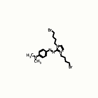 CN(C)c1ccc(/N=N/c2n(CCCCBr)cc[n+]2CCCCBr)cc1